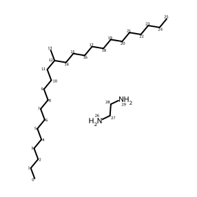 CCCCCCCCCCCCC(C)CCCCCCCCCCCC.NCCN